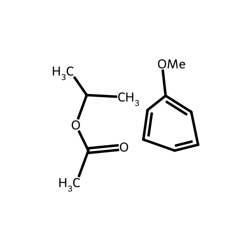 CC(=O)OC(C)C.COc1ccccc1